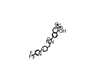 CS(=O)(=O)N1CCc2cc(-c3nc(CC4CCN(c5ccc(C(F)(F)F)cn5)CC4)no3)ccc2C1O